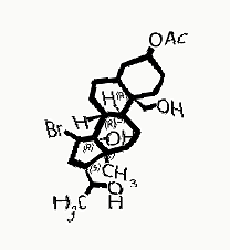 CC(=O)OC1CC[C@@]2(CO)C(CC[C@@H]3[C@@H]2CC[C@]2(C)[C@@H](C(C)O)CC(Br)[C@@]32O)C1